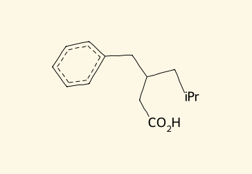 CC(C)CC(CC(=O)O)Cc1ccccc1